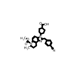 COC(=O)N1c2ccc3c(nc(Cc4ccc(C#N)cc4)n3C3CCC(C(=O)O)CC3)c2CC[C@@H]1C